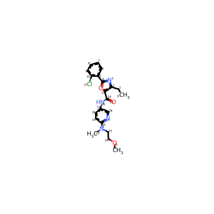 CCc1nc(-c2ccccc2Cl)oc1C(=O)Nc1ccc(N(C)CCOC)nc1